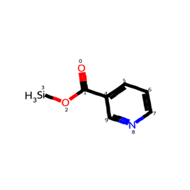 O=C(O[SiH3])c1cccnc1